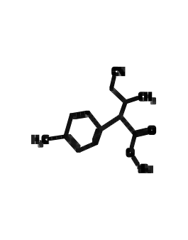 Cc1ccc(C(C(=O)OC(C)(C)C)C(C)CC#N)cc1